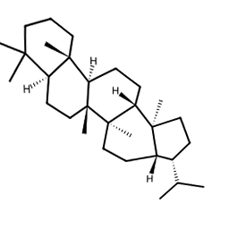 CC(C)[C@H]1CC[C@]2(C)[C@H]3CC[C@@H]4[C@@]5(C)CCCC(C)(C)[C@@H]5CC[C@@]4(C)[C@]3(C)CC[C@@H]12